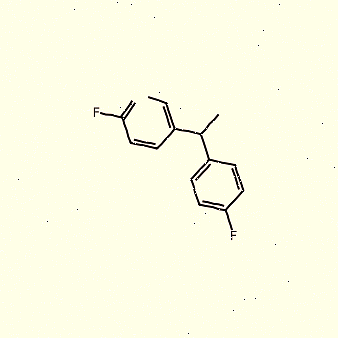 C=C(F)/C=C\C(=C/C)C(C)c1ccc(F)cc1